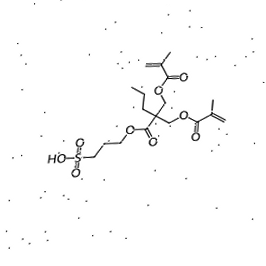 C=C(C)C(=O)OCC(CCC)(COC(=O)C(=C)C)C(=O)OCCCS(=O)(=O)O